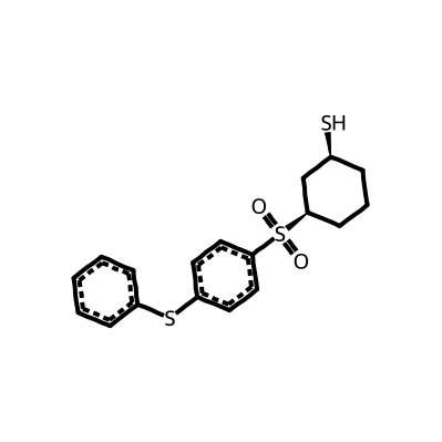 O=S(=O)(c1ccc(Sc2ccccc2)cc1)[C@@H]1CCC[C@H](S)C1